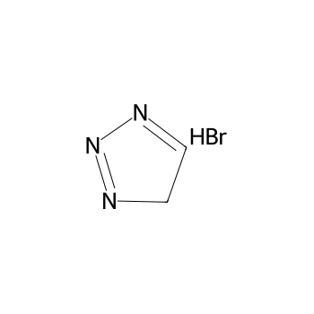 Br.C1=NN=NC1